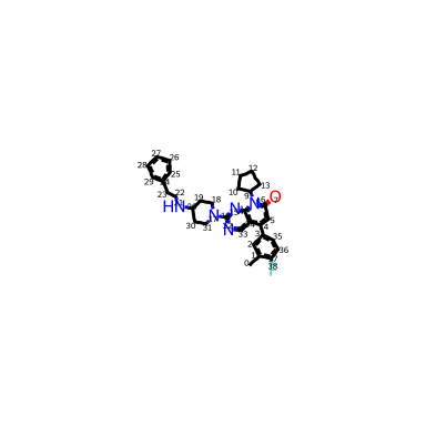 Cc1cc(-c2cc(=O)n(C3CCCC3)c3nc(N4CCC(NCCc5ccccc5)CC4)ncc23)ccc1F